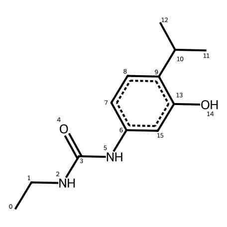 CCNC(=O)Nc1ccc(C(C)C)c(O)c1